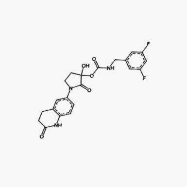 O=C1CCc2cc(N3CCC(O)(OC(=O)NCc4cc(F)cc(F)c4)C3=O)ccc2N1